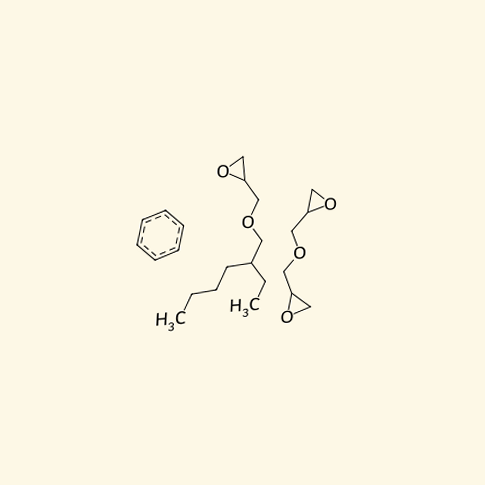 C(OCC1CO1)C1CO1.CCCCC(CC)COCC1CO1.c1ccccc1